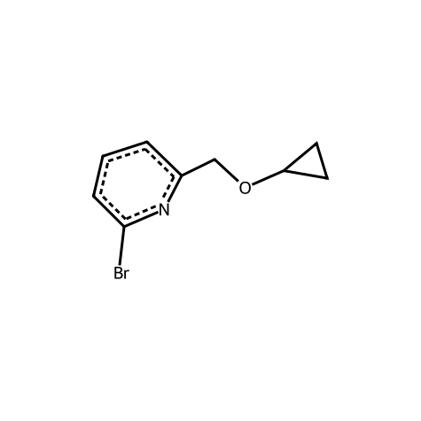 Brc1cccc(COC2CC2)n1